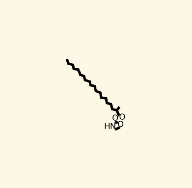 CCCCCCCCCCCCCCCCCCC(C)C(=O)OC1NCCO1